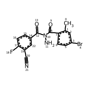 Cc1cc(Br)ccc1C(=O)N(N)C(=O)c1ccc(F)c(C#N)c1